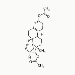 CC(=O)Oc1ccc2c(c1)CC[C@@H]1[C@@H]2CC[C@]2(C)[C@@H](OC(C)=O)[C@H]3C=C[C@@]12C3